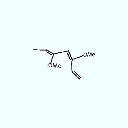 C=C/C(=C\C(=C\C)OC)OC